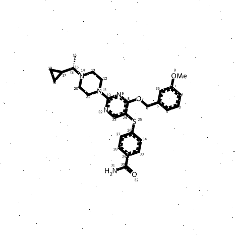 COc1cccc(COc2nc(N3CCN([C@@H](C)C4CC4)CC3)ncc2Sc2ccc(C(N)=O)cc2)c1